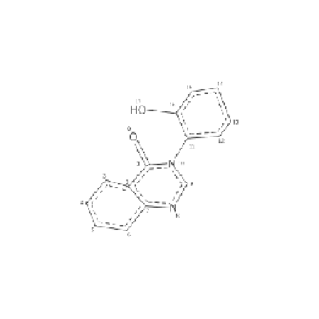 O=c1c2ccccc2ncn1-c1ccccc1O